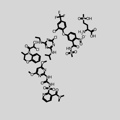 CC1COc2ccccc2N1C(=O)C(Cl)Cl.CCNc1nc(Cl)nc(NC(C)C)n1.COc1cc(OC)nc(NC(=O)NS(=O)(=O)c2ncccc2C(=O)N(C)C)n1.CP(=O)(O)CCC(N)C(=O)O.CS(=O)(=O)NC(=O)c1cc(Oc2ccc(C(F)(F)F)cc2Cl)ccc1[N+](=O)[O-]